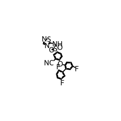 N#Cc1cc(S(=O)(=O)Nc2ncns2)ccc1Oc1ccc(F)cc1-c1cc(F)ccc1F